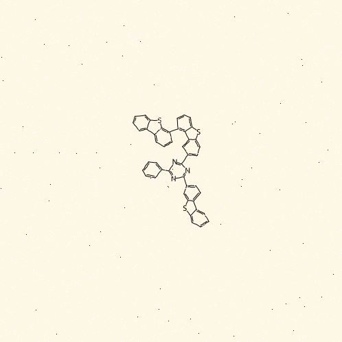 c1ccc(-c2nc(-c3ccc4c(c3)sc3ccccc34)nc(-c3ccc4sc5cccc(-c6cccc7c6sc6ccccc67)c5c4c3)n2)cc1